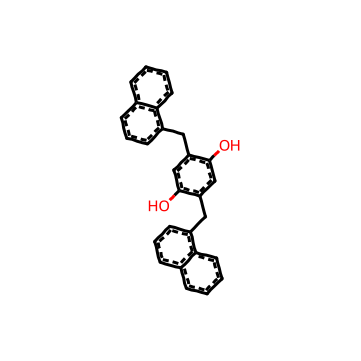 Oc1cc(Cc2cccc3ccccc23)c(O)cc1Cc1cccc2ccccc12